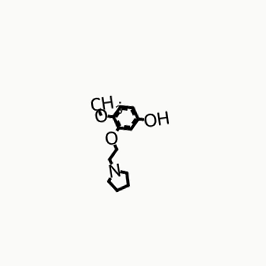 COc1[c]cc(O)cc1OCCN1CCCC1